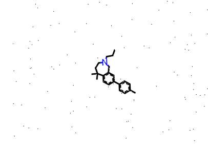 CCCN1CCC(C)(C)c2ccc(-c3ccc(C)cc3)cc2C1